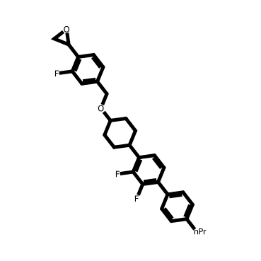 CCCc1ccc(-c2ccc(C3CCC(OCc4ccc(C5CO5)c(F)c4)CC3)c(F)c2F)cc1